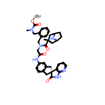 CN(Cc1ccccc1CN(CC(=O)Nc1ccc2c(c1)C[C@@]1(C2)C(=O)Nc2ncccc21)C(=O)C1(C)CC2CCC(C1)N2)C(=O)OC(C)(C)C